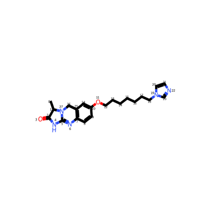 CC1C(=O)NC2=Nc3ccc(OCCCCCCCn4ccnc4)cc3CN21